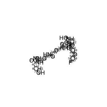 NC(=O)C(Cc1ccc(O)c(I)c1)NC(=O)CCOCCNC(=O)CCOCCNC(=O)CCN(C1(C(=O)NO)CCCC1)S(=O)(=O)c1ccc(Oc2ccc(F)cc2)cc1